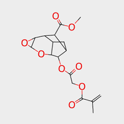 C=C(C)C(=O)OCC(=O)OC1C2CC3C1OC1OC1C3C2C(=O)OC